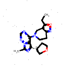 CCc1onc2c1CN(c1ncnn3c(C)nc([C@@H]4CCOC4)c13)CC2